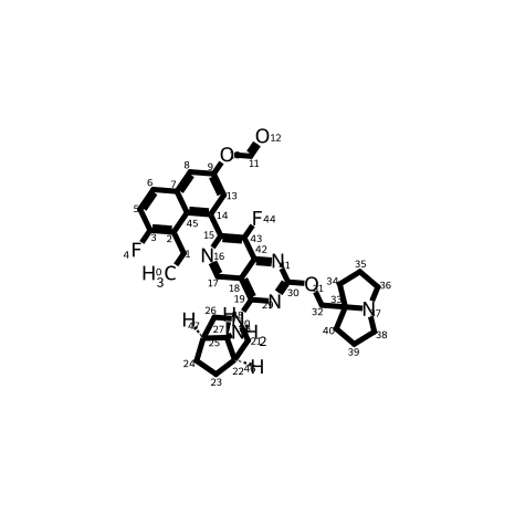 CCc1c(F)ccc2cc(OC=O)cc(-c3ncc4c(N5C[C@H]6CC[C@@H](C5)[C@@H]6N)nc(OCC56CCCN5CCC6)nc4c3F)c12